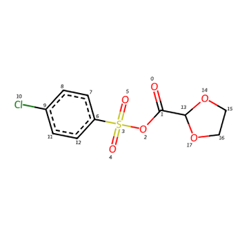 O=C(OS(=O)(=O)c1ccc(Cl)cc1)C1OCCO1